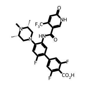 C[C@@H]1CN(c2cc(F)c(-c3cc(F)c(C(=O)O)c(F)c3)cc2NC(=O)c2c[nH]c(=O)cc2C(F)(F)F)C[C@H](C)N1C